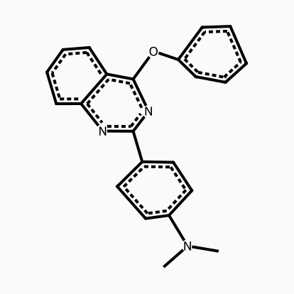 CN(C)c1ccc(-c2nc(Oc3ccccc3)c3ccccc3n2)cc1